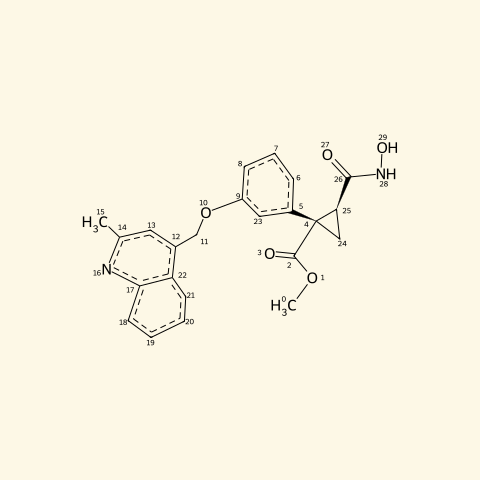 COC(=O)[C@@]1(c2cccc(OCc3cc(C)nc4ccccc34)c2)C[C@@H]1C(=O)NO